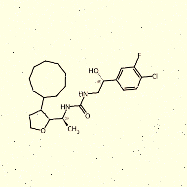 C[C@H](NC(=O)NC[C@H](O)c1ccc(Cl)c(F)c1)C1OCCC1C1CCCCCCCC1